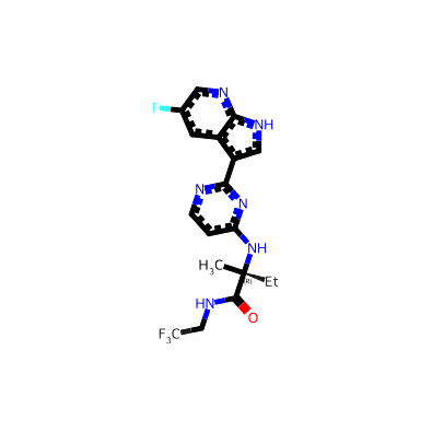 CC[C@@](C)(Nc1ccnc(-c2c[nH]c3ncc(F)cc23)n1)C(=O)NCC(F)(F)F